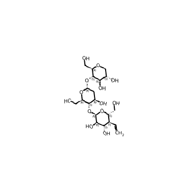 C=C[C@H]1[C@H](O)[C@@H](O)[C@@H](O[C@H]2[C@H](O)C[C@@H](O[C@H]3[C@H](O)[C@@H](O)CO[C@@H]3CO)O[C@@H]2CO)O[C@@H]1CO